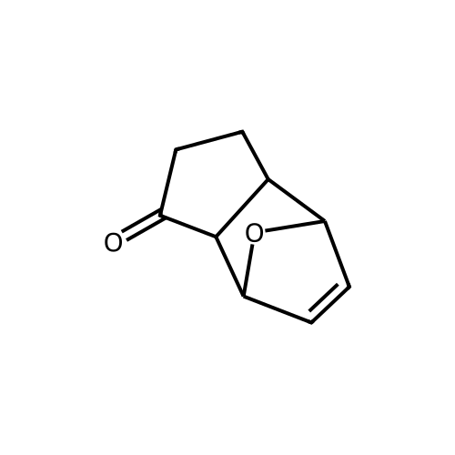 O=C1CCC2C3C=CC(O3)C12